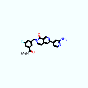 CNC(=O)c1cc(F)cc(Cn2ccc3cc(-c4ccnc(N)c4)ncc3c2=O)c1